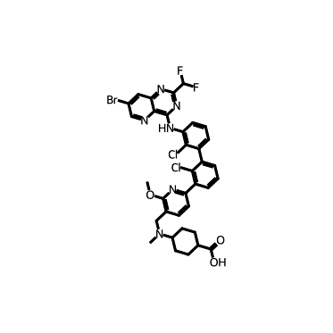 COc1nc(-c2cccc(-c3cccc(Nc4nc(C(F)F)nc5cc(Br)cnc45)c3Cl)c2Cl)ccc1CN(C)C1CCC(C(=O)O)CC1